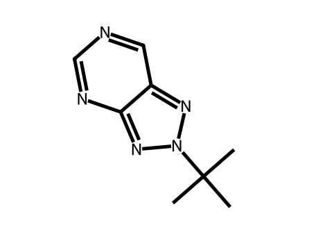 CC(C)(C)n1nc2cncnc2n1